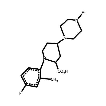 CC(=O)N1CCN(C2CCN(c3ccc(F)cc3C)C(C(=O)O)C2)CC1